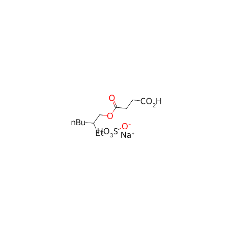 CCCCC(CC)COC(=O)CCC(=O)O.O=S(=O)([O-])O.[Na+]